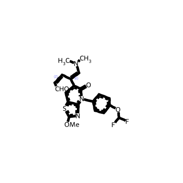 COc1nc2c(cc(C(/C=C\C=O)=C/N(C)C)c(=O)n2-c2ccc(OC(F)F)cc2)s1